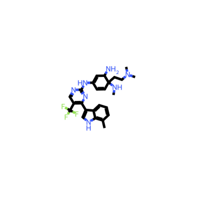 CNC1(CCN(C)C)C=CC(Nc2ncc(C(F)(F)F)c(-c3c[nH]c4c(C)cccc34)n2)=CC1N